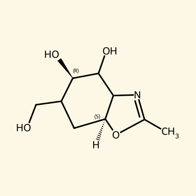 CC1=NC2C(O)[C@H](O)C(CO)C[C@@H]2O1